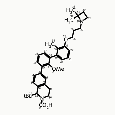 COc1c(-c2ccc3c(c2)CCN(C(=O)O)C3C(C)(C)C)cccc1-c1cccc(OCCCN2CCC2(C)C)c1C